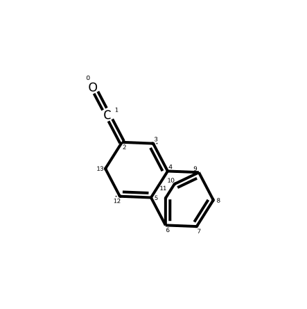 O=C=C1[C]=c2c(c3ccc2cc3)=[C]C1